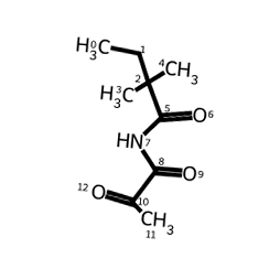 CCC(C)(C)C(=O)NC(=O)C(C)=O